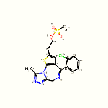 Cc1nnc2n1-c1sc(CCOS(C)(=O)=O)cc1C(c1ccccc1Cl)=NC2